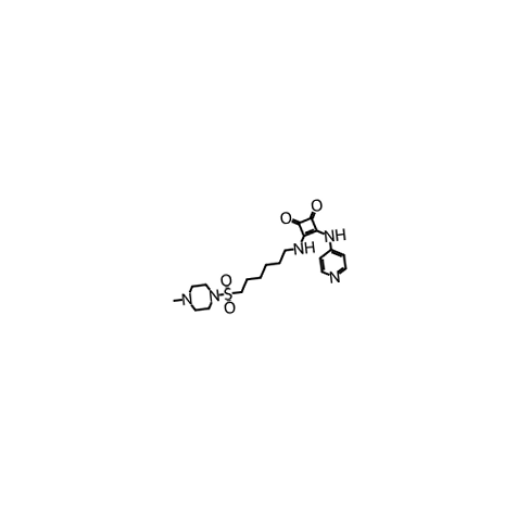 CN1CCN(S(=O)(=O)CCCCCCNc2c(Nc3ccncc3)c(=O)c2=O)CC1